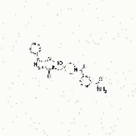 NC(=O)c1cccc(C(=O)N2CCC(O)(Cn3cnc4c(cnn4-c4ccccc4)c3=O)CC2)c1